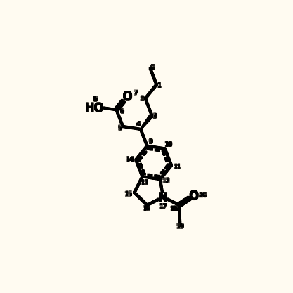 CCCC[C@H](CC(=O)O)c1ccc2c(c1)CCN2C(C)=O